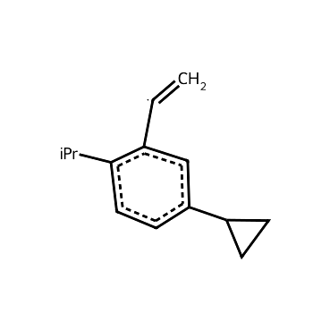 C=[C]c1cc(C2CC2)ccc1C(C)C